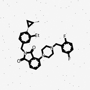 CCc1cc(CN2C(=O)c3cccc(N4CCN(Cc5cc(F)ccc5F)CC4)c3C2=O)ccc1[C@@H]1C[C@@H]1C